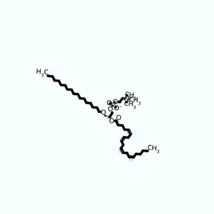 CCCCC/C=C\C/C=C\C/C=C\C/C=C\CCCC(=O)O[C@H](COCCCCCCCCCCCCCCCCCC)COP(=O)([O-])OCC[N+](C)(C)C